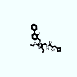 CCOc1nc(CC)c(CNC(=O)[C@@H](S)CC2CCC2)n1Cc1cccc(-c2ccccc2)c1F